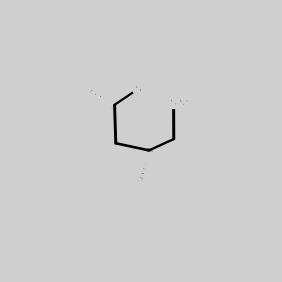 CC[C@@H](CNC)C[C@H](C)N